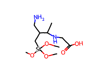 CO[Si](CC(CN)C(C)NCC(=O)O)(OC)OC